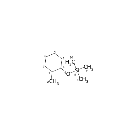 CC1CCCCC1O[Si](C)(C)C